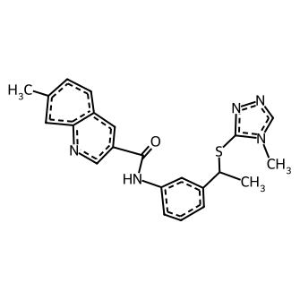 Cc1ccc2cc(C(=O)Nc3cccc(C(C)Sc4nncn4C)c3)cnc2c1